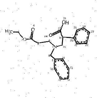 CCOC(=O)CCN(Cc1ccccc1)CC(C(=O)O)c1ccccc1